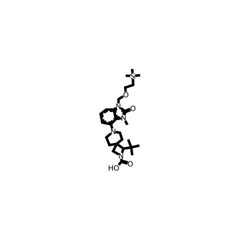 Cn1c(=O)n(COCC[Si](C)(C)C)c2cccc(N3CCC4(CC3)CN(C(=O)O)C4C(C)(C)C)c21